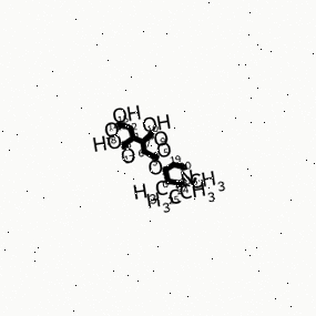 CC1C(OC(=O)CC(C(=O)O)C(CC(=O)O)C(=O)O)CCN(C)C1(C)C